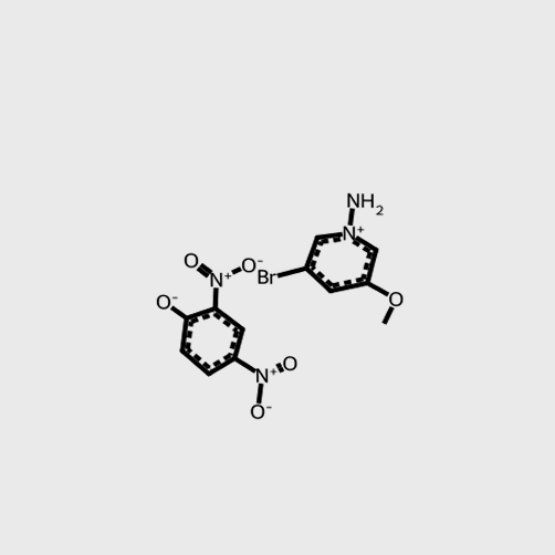 COc1cc(Br)c[n+](N)c1.O=[N+]([O-])c1ccc([O-])c([N+](=O)[O-])c1